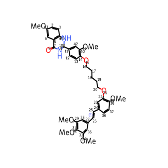 COc1ccc2c(c1)C(=O)NC(c1ccc(OCCCCCOc3cc(/C=C/c4cc(OC)c(OC)c(OC)c4)ccc3OC)c(OC)c1)N2